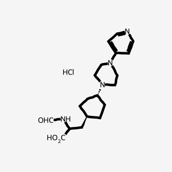 Cl.O=CNC(C[C@H]1CC[C@H](N2CCN(c3ccncc3)CC2)CC1)C(=O)O